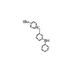 CC(C)(C)c1cc[n+](Cc2cccc(Bc3ccccc3)c2)cc1